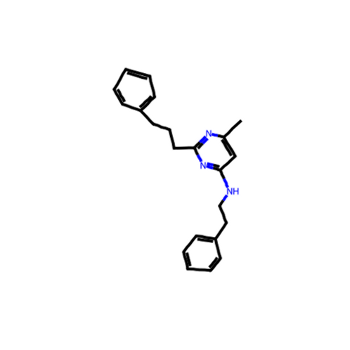 Cc1cc(NCCc2ccccc2)nc(CCCc2ccccc2)n1